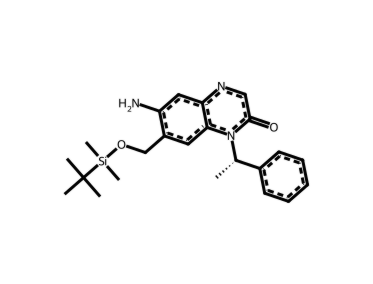 C[C@@H](c1ccccc1)n1c(=O)cnc2cc(N)c(CO[Si](C)(C)C(C)(C)C)cc21